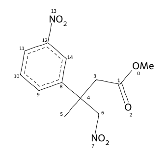 COC(=O)CC(C)(C[N+](=O)[O-])c1cccc([N+](=O)[O-])c1